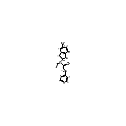 CCN(C(=O)OCc1ccccc1)C1Cc2ccc(Br)cc2C1